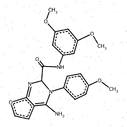 COc1ccc(N2C(N)=c3ccoc3=NC2C(=O)Nc2cc(OC)cc(OC)c2)cc1